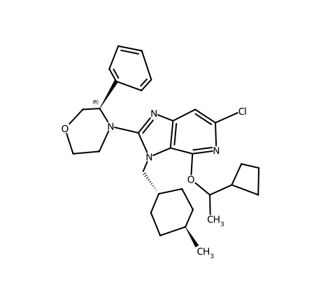 CC(Oc1nc(Cl)cc2nc(N3CCOC[C@H]3c3ccccc3)n(C[C@H]3CC[C@H](C)CC3)c12)C1CCC1